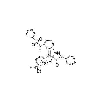 CC(=O)NC1(Nc2ccccc2)C(=O)N(c2ccccc2)N=C1c1cccc(NS(=O)(=O)c2ccccc2)c1.CCNCC